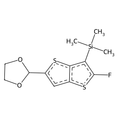 C[Si](C)(C)c1c(F)sc2cc(C3OCCO3)sc12